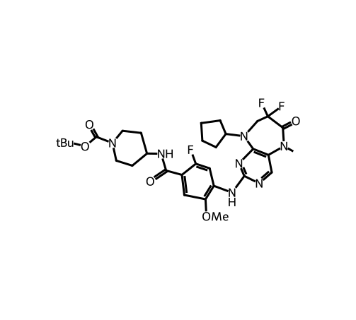 COc1cc(C(=O)NC2CCN(C(=O)OC(C)(C)C)CC2)c(F)cc1Nc1ncc2c(n1)N(C1CCCC1)CC(F)(F)C(=O)N2C